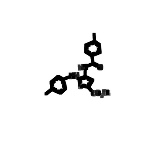 CCOC(=O)c1cc(NC(=O)c2ccc(C)cc2)c(Nc2ccc(C)cc2)s1